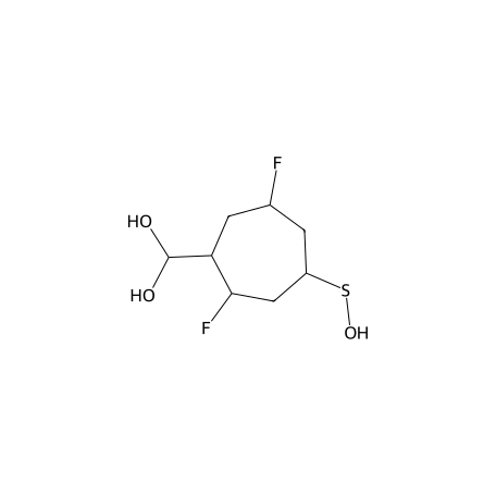 OSC1CC(F)CC(C(O)O)C(F)C1